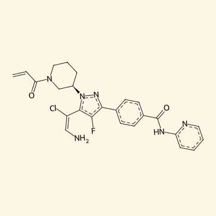 C=CC(=O)N1CCC[C@@H](n2nc(-c3ccc(C(=O)Nc4ccccn4)cc3)c(F)c2/C(Cl)=C\N)C1